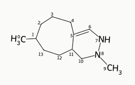 CC1CCCC2=CNN(C)CC2CC1